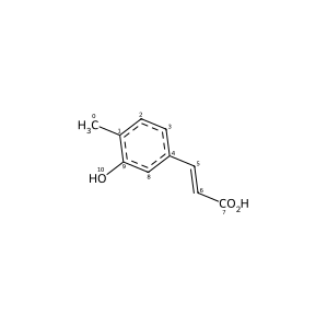 Cc1ccc(/C=C/C(=O)O)cc1O